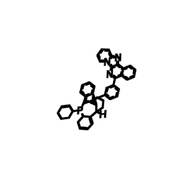 C1=CCC2C(=C1)[C@H]1CCCc3c1c(-c1cccc(-c4nc5c(nc6ccccn65)c5ccccc45)c1)c1ccccc1c3P2C1C=CCCC1